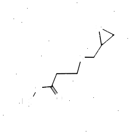 COC(=O)CCSCC1CO1